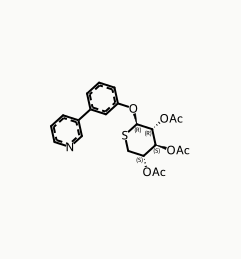 CC(=O)O[C@@H]1[C@@H](OC(C)=O)[C@H](OC(C)=O)CS[C@H]1Oc1cccc(-c2cccnc2)c1